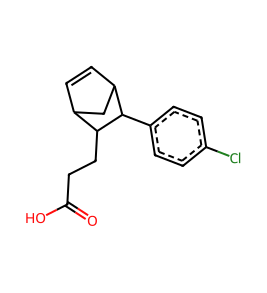 O=C(O)CCC1C2C=CC(C2)C1c1ccc(Cl)cc1